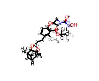 Cc1c(CCB2O[C@@H]3C[C@@H]4C[C@@H](C4(C)C)[C@]3(C)O2)ccc(OC2CN(C(=O)NO)C2)c1C(=O)OC(C)(C)C